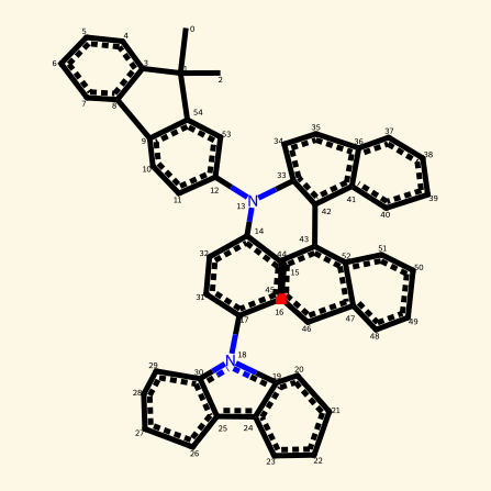 CC1(C)c2ccccc2-c2ccc(N(c3ccc(-n4c5ccccc5c5ccccc54)cc3)c3ccc4ccccc4c3-c3cccc4ccccc34)cc21